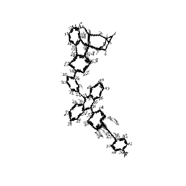 CC1CC23CC2CC(C3)C12c1ccccc1-c1cc(-c3cccc(-c4c5ccccc5c(-c5ccc(-c6ccc(F)cc6)cc5)c5ccccc45)c3)ccc12